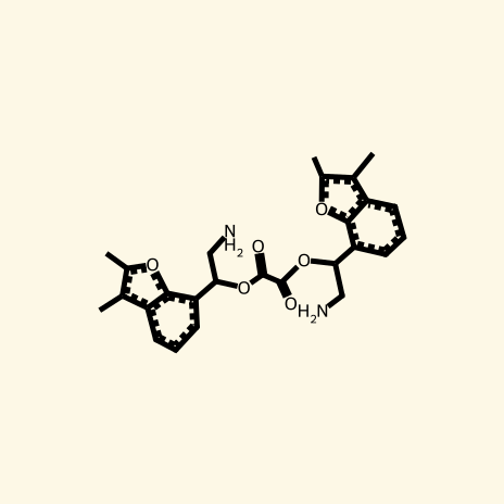 Cc1oc2c(C(CN)OC(=O)C(=O)OC(CN)c3cccc4c(C)c(C)oc34)cccc2c1C